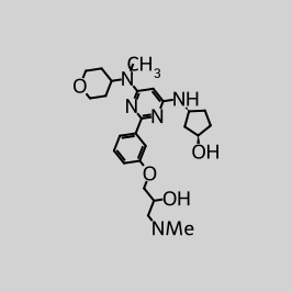 CNCC(O)COc1cccc(-c2nc(N[C@@H]3CC[C@@H](O)C3)cc(N(C)C3CCOCC3)n2)c1